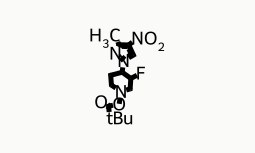 Cc1nn(C2CCN(OC(=O)C(C)(C)C)CC2F)cc1[N+](=O)[O-]